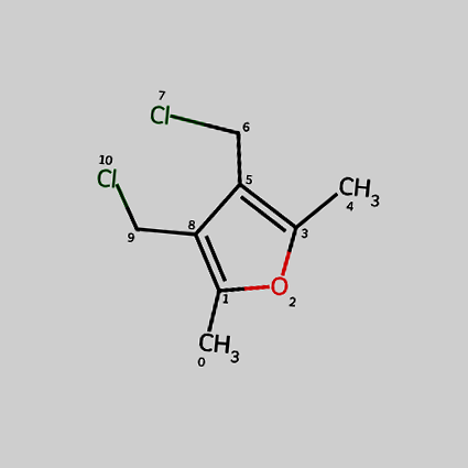 Cc1oc(C)c(CCl)c1CCl